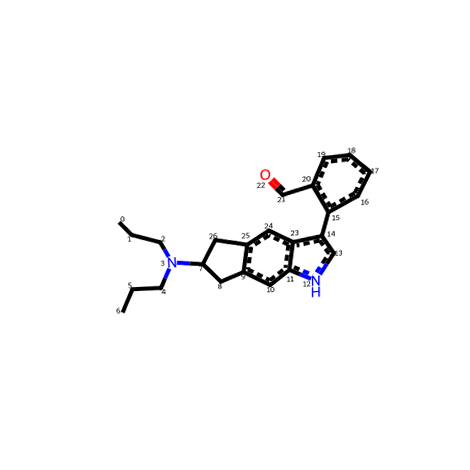 CCCN(CCC)C1Cc2cc3[nH]cc(-c4ccccc4C=O)c3cc2C1